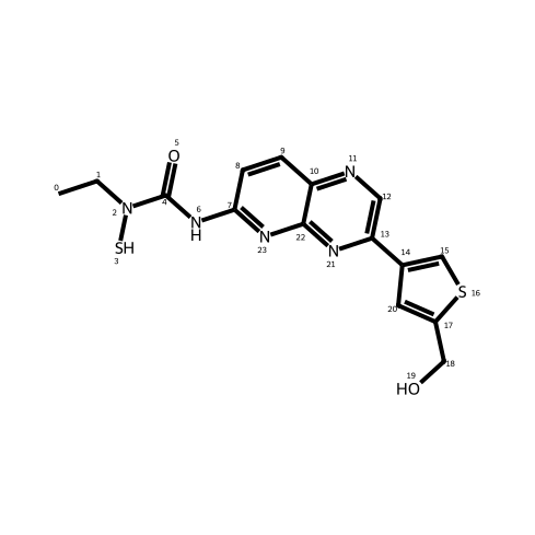 CCN(S)C(=O)Nc1ccc2ncc(-c3csc(CO)c3)nc2n1